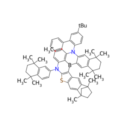 Cc1cc2c3c(c1)N(c1ccc4c(c1)C(C)(C)CCC4(C)C)c1sc4cc5c(cc4c1B3c1cc3c(cc1N2c1ccc(C(C)(C)C)cc1-c1ccccc1)C(C)(C)CCC3(C)C)C1(C)CCC5(C)C1